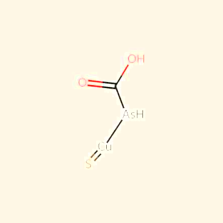 O=C(O)[AsH][Cu]=[S]